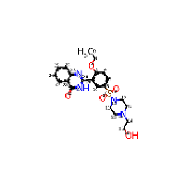 CCOc1ccc(S(=O)(=O)N2CCN(CCO)CC2)cc1-c1nc2ccccc2c(=O)[nH]1